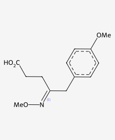 CO/N=C(\CCC(=O)O)Cc1ccc(OC)cc1